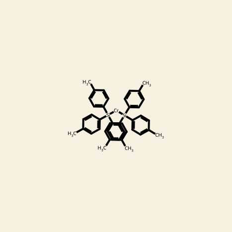 Cc1ccc([Si]([Cr][Si](c2ccc(C)cc2)(c2ccc(C)cc2)c2ccc(C)cc2)(c2ccc(C)cc2)c2ccc(C)cc2)cc1